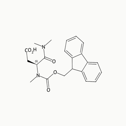 CN(C)C(=O)[C@H](CC(=O)O)N(C)C(=O)OCC1c2ccccc2-c2ccccc21